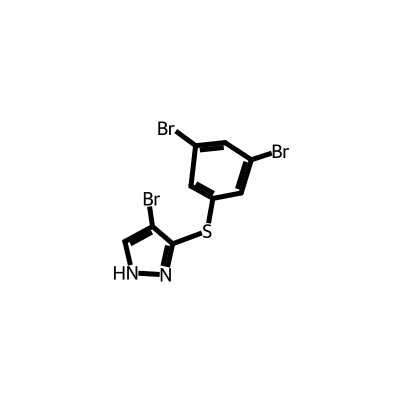 Brc1cc(Br)cc(Sc2n[nH]cc2Br)c1